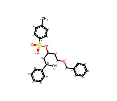 Cc1ccc(S(=O)(=O)OC(CCOCc2ccccc2)CC(C#N)c2ccccc2)cc1